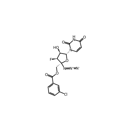 [N-]=[N+]=N[C@]1(COC(=O)c2cccc(Cl)c2)O[C@@H](n2ccc(=O)[nH]c2=O)[C@H](O)[C@@H]1F